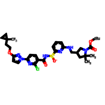 CC(C)(C)OC(=O)N1CC(CNc2cccc([S+]([O-])NC(=O)c3ccc(-n4ccc(OCCC5(C(F)(F)F)CC5)n4)nc3Cl)n2)CC1(C)C